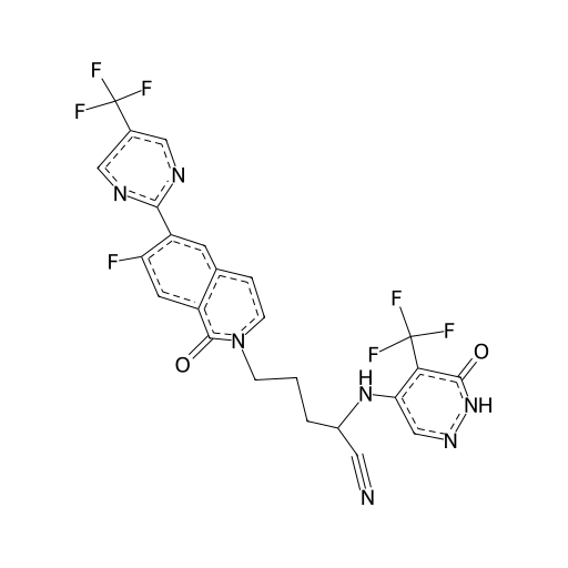 N#CC(CCCn1ccc2cc(-c3ncc(C(F)(F)F)cn3)c(F)cc2c1=O)Nc1cn[nH]c(=O)c1C(F)(F)F